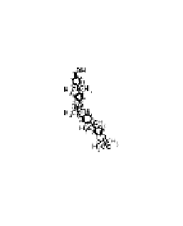 CC(C)(Cl)C(=O)Oc1ccc(C(C)(C)C2=CC=C(OC(C)(C)C(=O)Oc3ccc(C(C)(C)c4ccc(CO)cc4)cc3)C=CC2)cc1